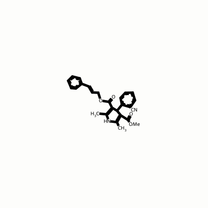 COC(=O)C1=C(C)NC(C)=C(C(=O)OCC=Cc2ccccc2)C1c1ccccc1C#N